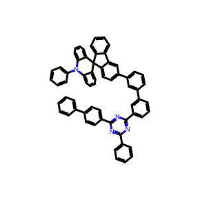 c1ccc(-c2ccc(-c3nc(-c4ccccc4)nc(-c4cccc(-c5cccc(-c6ccc7c(c6)-c6ccccc6C76c7ccccc7N(c7ccccc7)c7ccccc76)c5)c4)n3)cc2)cc1